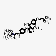 CNc1ncnc(Nc2ccc(NC/C=C(\ON)C(C)(C)C)cc2)c1C(=N)c1ccc(OCCN(C)C)cc1